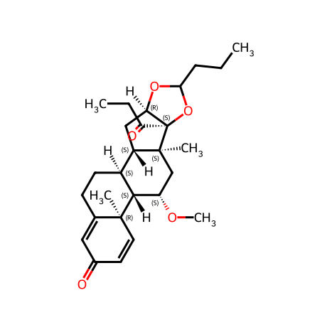 CCCC1O[C@@H]2C[C@H]3[C@@H]4CCC5=CC(=O)C=C[C@]5(C)[C@H]4[C@@H](OC)C[C@]3(C)[C@]2(C(=O)CC)O1